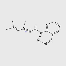 CC(C)=C/C(C)=N/Nc1nncc2ccccc12